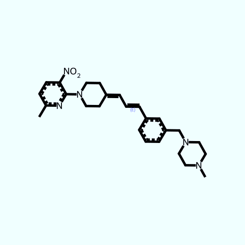 Cc1ccc([N+](=O)[O-])c(N2CCC(=C/C=C/c3cccc(CN4CCN(C)CC4)c3)CC2)n1